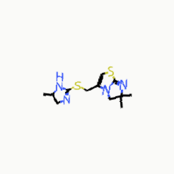 CC1CN=C(SCC2=CSC3=NC(C)(C)CN23)N1